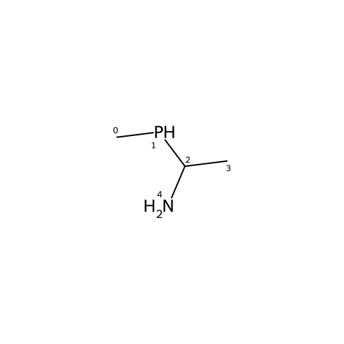 CPC(C)N